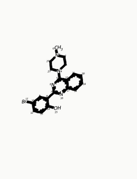 CN1CCN(c2nc(-c3cc(Br)ccc3O)nc3ccccc23)CC1